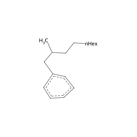 CCCCCCCCC(C)Cc1ccccc1